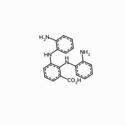 Nc1ccccc1Nc1cccc(C(=O)O)c1Nc1ccccc1N